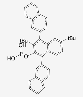 CC(C)(C)c1ccc2c(-c3ccc4ccccc4c3)c(OP(O)O)c(C(C)(C)C)c(-c3ccc4ccccc4c3)c2c1